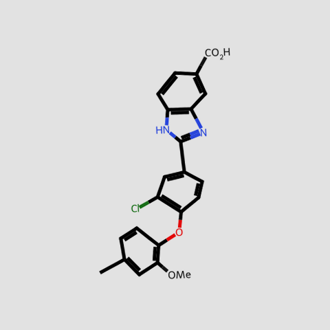 COc1cc(C)ccc1Oc1ccc(-c2nc3cc(C(=O)O)ccc3[nH]2)cc1Cl